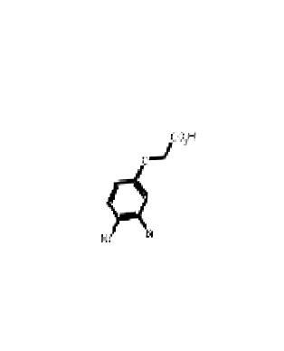 N#Cc1ccc(OCC(=O)O)cc1Br